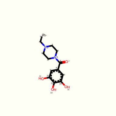 C[C](C)CN1CCN(C(=O)c2cc(O)c(O)c(O)c2)CC1